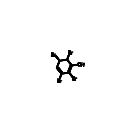 OC1=C(Br)C(Br)=CC(Br)C1Br